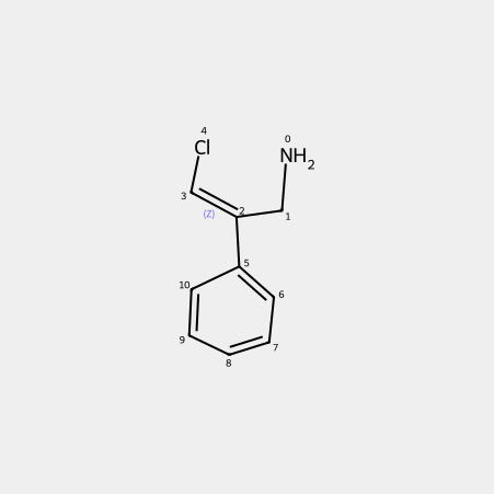 NC/C(=C\Cl)c1ccccc1